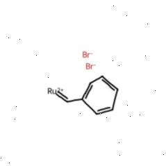 [Br-].[Br-].[Ru+2]=[CH]c1ccccc1